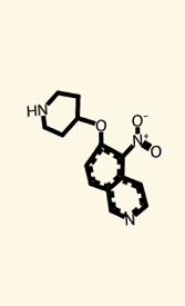 O=[N+]([O-])c1c(OC2CCNCC2)ccc2cnccc12